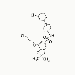 CC1(C)Cc2cc(S(=O)(=O)NN3CCN(c4cccc(Cl)c4)CC3)cc(OCCCCl)c2O1